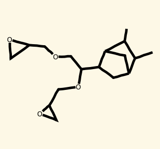 CC1C2CC(C(COCC3CO3)OCC3CO3)C(C2)C1C